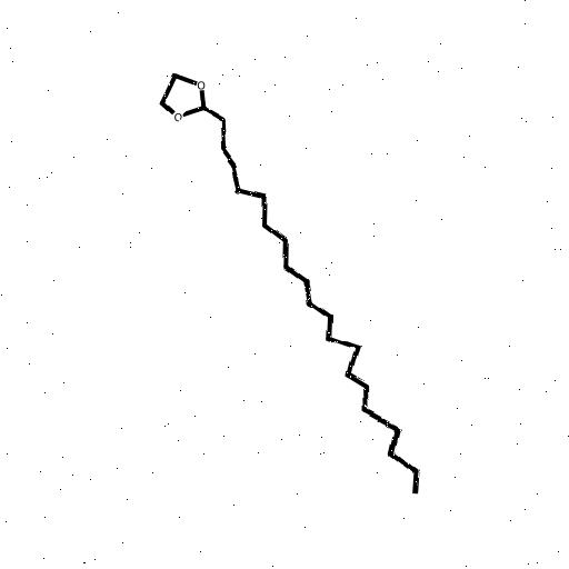 CCCCCCCCCCCCCCCCCCCCC1OCCO1